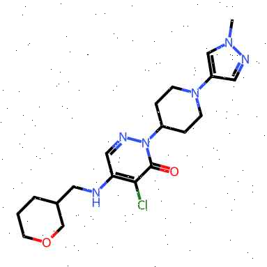 Cn1cc(N2CCC(n3ncc(NCC4CCCOC4)c(Cl)c3=O)CC2)cn1